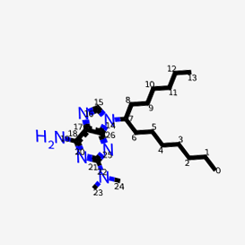 CCCCCCCC(CCCCCC)n1cnc2c(N)nc(N(C)C)nc21